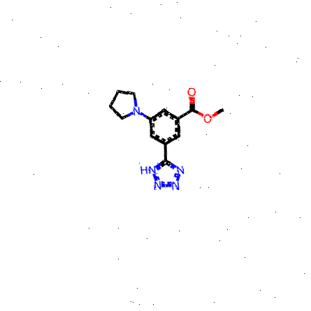 COC(=O)c1cc(-c2nnn[nH]2)cc(N2CCCC2)c1